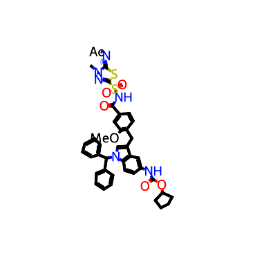 COc1cc(C(=O)NS(=O)(=O)c2nn(C)/c(=N\C(C)=O)s2)ccc1Cc1cn(C(c2ccccc2)c2ccccc2)c2ccc(NC(=O)OC3CCCC3)cc12